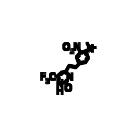 CN(C)c1ccc(C=Cc2cc(C(F)(F)F)[nH]c(=O)n2)cc1[N+](=O)[O-]